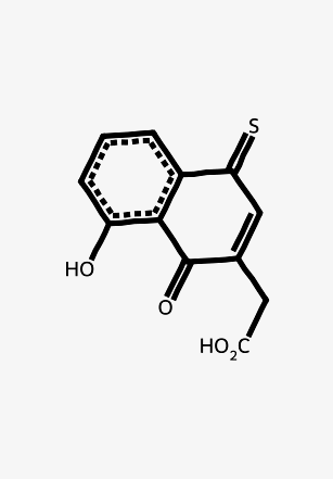 O=C(O)CC1=CC(=S)c2cccc(O)c2C1=O